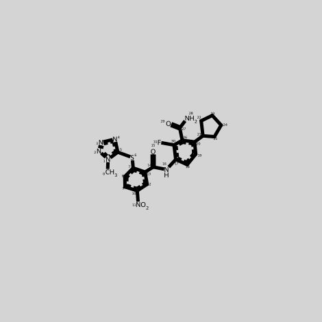 Cn1nnnc1Sc1ccc([N+](=O)[O-])cc1C(=O)Nc1ccc(C2CCCC2)c(C(N)=O)c1F